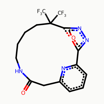 O=C1Cc2cccc(n2)-c2nnc(o2)C(C(F)(F)F)(C(F)(F)F)CCCCN1